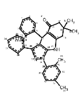 COc1ccccc1C1C2=C(CC(C)(C)CC2=O)Nc2c1c(-c1ccccc1)nn2-c1ccc(C)cc1C